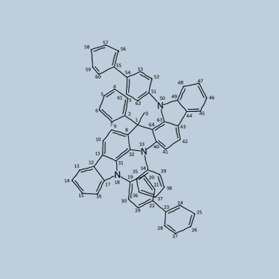 CC1(c2ccccc2)c2ccc3c4ccccc4n(-c4ccc(-c5ccccc5)cc4)c3c2N(c2ccccc2)c2ccc3c4ccccc4n(-c4ccc(-c5ccccc5)cc4)c3c21